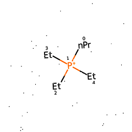 CCC[P+](CC)(CC)CC